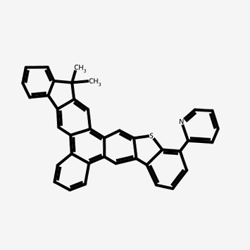 CC1(C)c2ccccc2-c2cc3c4ccccc4c4cc5c(cc4c3cc21)sc1c(-c2ccccn2)cccc15